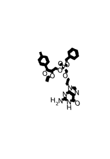 C=C1OC(COP(=O)(COCCn2cnc3c(=O)[nH]c(N)nc32)OCc2ccccc2)=C(c2ccc(C)cc2)O1